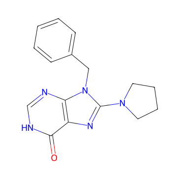 O=c1[nH]cnc2c1nc(N1CCCC1)n2Cc1ccccc1